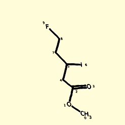 COC(=O)CC(I)CCF